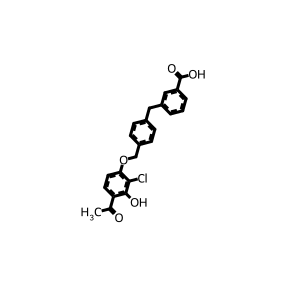 CC(=O)c1ccc(OCc2ccc(Cc3cccc(C(=O)O)c3)cc2)c(Cl)c1O